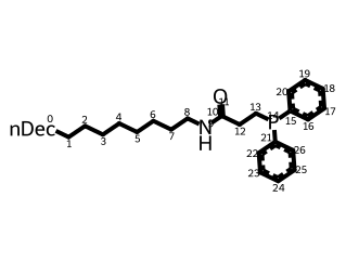 CCCCCCCCCCCCCCCCCCNC(=O)CCP(c1ccccc1)c1ccccc1